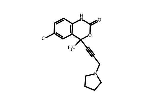 O=C1Nc2ccc(Cl)cc2C(C#CCN2CCCC2)(C(F)(F)F)O1